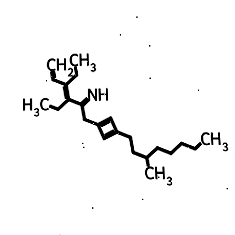 C=C/C(CC)=C(\CC)C(=N)CC1=CC(CCC(C)CCCCC)=C1